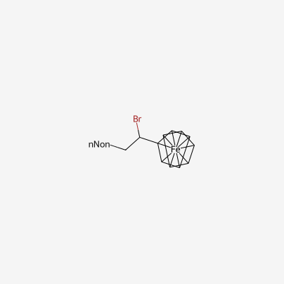 CCCCCCCCCCC(Br)[C]12[CH]3[CH]4[CH]5[CH]1[Fe]45321678[CH]2[CH]1[CH]6[CH]7[CH]28